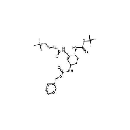 CC(C)(C)OC(=O)N[C@H]1CC[C@@H](NC(=O)OCc2ccccc2)C=C1NC(=O)OCC[Si](C)(C)C